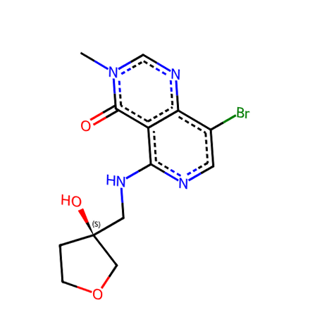 Cn1cnc2c(Br)cnc(NC[C@@]3(O)CCOC3)c2c1=O